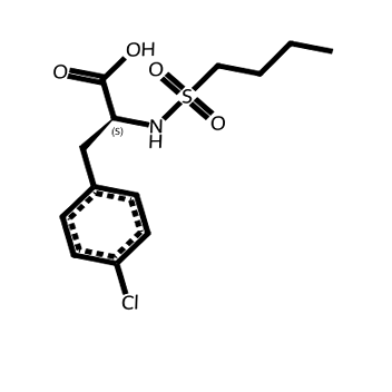 CCCCS(=O)(=O)N[C@@H](Cc1ccc(Cl)cc1)C(=O)O